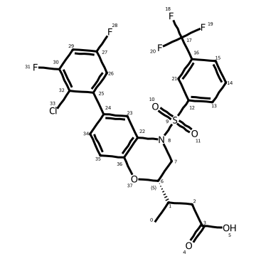 CC(CC(=O)O)[C@H]1CN(S(=O)(=O)c2cccc(C(F)(F)F)c2)c2cc(-c3cc(F)cc(F)c3Cl)ccc2O1